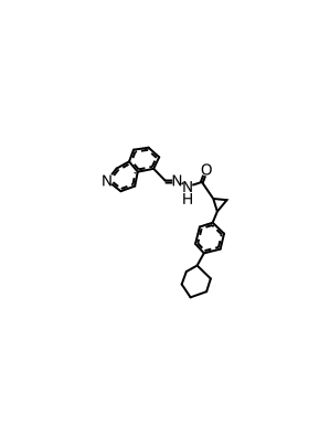 O=C(NN=Cc1cccc2cnccc12)C1CC1c1ccc(C2CCCCC2)cc1